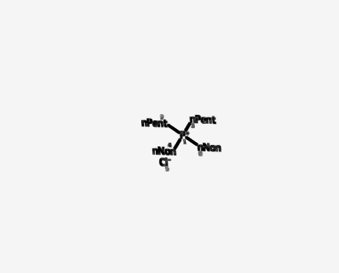 CCCCCCCCC[P+](CCCCC)(CCCCC)CCCCCCCCC.[Cl-]